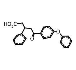 O=C(O)CC(CC(=O)c1ccc(Oc2ccccc2)cc1)c1ccccc1